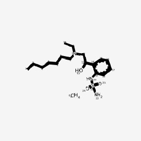 C.CCCCCCCN(CC)CC(O)c1ccccc1NS(N)(=O)=O